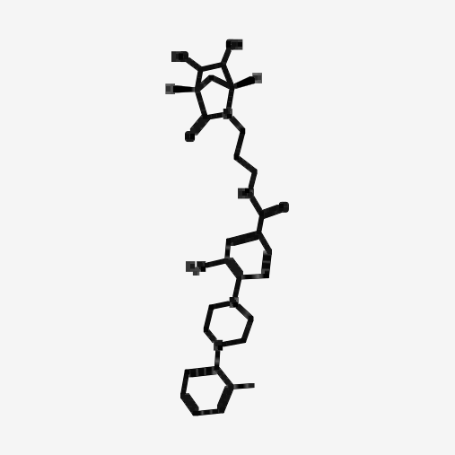 Cc1ccccc1N1CCN(c2ccc(C(=O)NCCCN3C(=O)[C@H]4C[C@@H]3C(O)C4O)cc2N)CC1